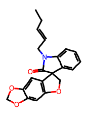 CCC=CCN1C(=O)C2(COc3cc4c(cc32)OCO4)c2ccccc21